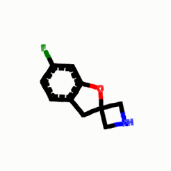 Fc1ccc2c(c1)OC1(CNC1)C2